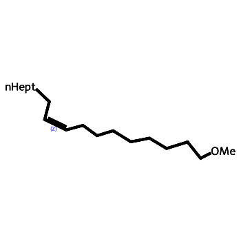 [CH]OCCCCCCCC/C=C\CCCCCCCC